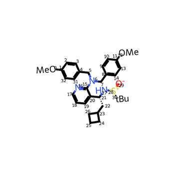 COc1ccc(CN(Cc2ccc(OC)cc2)c2ncccc2[C@@H](CC2CCC2)N[S@@+]([O-])C(C)(C)C)cc1